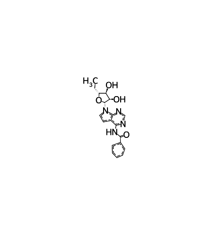 CC[C@H]1O[C@@H](n2ccc3c(NC(=O)c4ccccc4)ncnc32)[C@H](O)[C@@H]1O